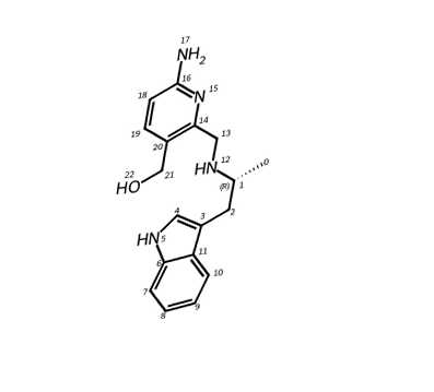 C[C@H](Cc1c[nH]c2ccccc12)NCc1nc(N)ccc1CO